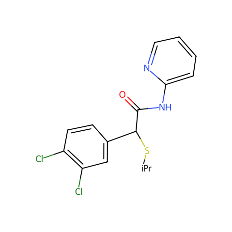 CC(C)SC(C(=O)Nc1ccccn1)c1ccc(Cl)c(Cl)c1